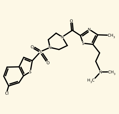 Cc1nc(C(=O)N2CCN(S(=O)(=O)c3cc4ccc(Cl)cc4s3)CC2)sc1CCN(C)C